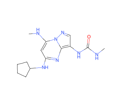 CNC(=O)Nc1cnn2c(NC)cc(NC3CCCC3)nc12